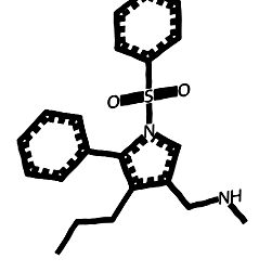 CCCc1c(CNC)cn(S(=O)(=O)c2ccccc2)c1-c1ccccc1